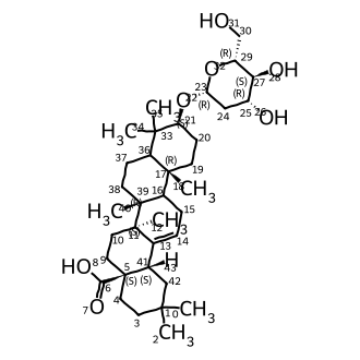 CC1(C)CC[C@]2(C(=O)O)CC[C@]3(C)C(=CCC4[C@@]5(C)CC[C@H](O[C@H]6C[C@@H](O)[C@H](O)[C@@H](CO)O6)C(C)(C)C5CC[C@]43C)[C@@H]2C1